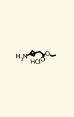 CCOC(=O)CC12CC(N)(C1)C2.Cl